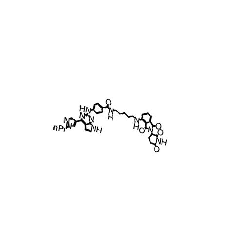 CCCn1cc(-c2nc(Nc3ccc(C(=O)NCCCCCNc4cccc5c4C(=O)N(C4CCC(=O)NC4=O)C5=O)cc3)nc3[nH]ccc23)cn1